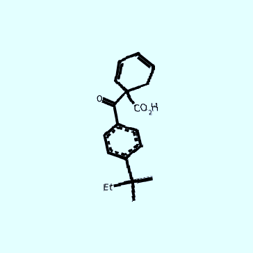 CCC(C)(C)c1ccc(C(=O)C2(C(=O)O)C=CC=CC2)cc1